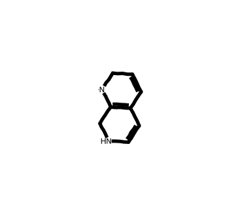 C1=CC2=C(CNC=C2)[N]C1